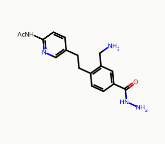 CC(=O)Nc1ccc(CCc2ccc(C(=O)NN)cc2CN)cn1